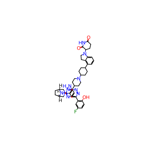 Nc1nnc(-c2cc(F)ccc2O)cc1N1C[C@H]2CC[C@@H](C1)N2c1nccc(C2CCN(C3CCC(c4cccc5c4CCN5C4CCC(=O)NC4=O)CC3)CC2)n1